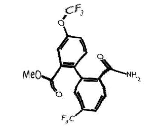 COC(=O)c1cc(OC(F)(F)F)ccc1-c1cc(C(F)(F)F)ccc1C(N)=O